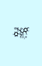 Cc1ccc(C2O[C@@H](C(=O)O)[C@H](c3ccccc3)N2C(=O)OC(C)(C)C)c(C)c1